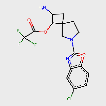 NC1CC2(CCN(c3nc4cc(Cl)ccc4o3)C2)C1OC(=O)C(F)(F)F